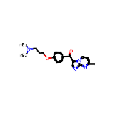 CCCCN(CCCC)CCCOc1ccc(C(=O)c2cnc3nc(C)ccn23)cc1